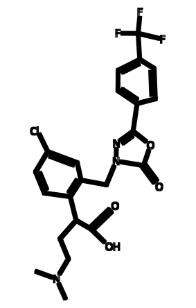 CN(C)CCC(C(=O)O)c1ccc(Cl)cc1Cn1nc(-c2ccc(C(F)(F)F)cc2)oc1=O